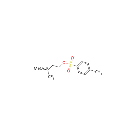 CO[C@@H](CCOS(=O)(=O)c1ccc(C)cc1)C(F)(F)F